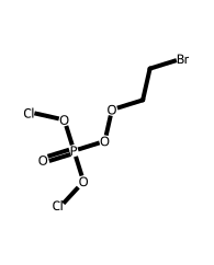 O=P(OCl)(OCl)OOCCBr